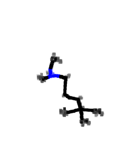 CN(C)[CH]CCC(C)(C)C